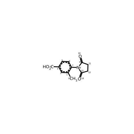 Cc1cc(C(=O)O)ccc1N1C(=O)CCC1=O